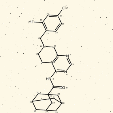 O=C(Nc1ncnc2c1CCN(Cc1ccc(Cl)cc1F)C2)C12CC3CC(CC(C3)C1)C2